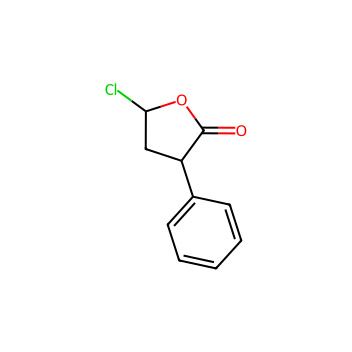 O=C1OC(Cl)CC1c1ccccc1